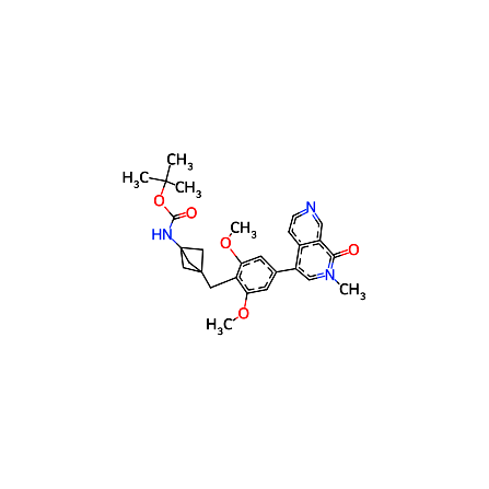 COc1cc(-c2cn(C)c(=O)c3cnccc23)cc(OC)c1CC12CC(NC(=O)OC(C)(C)C)(C1)C2